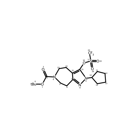 CC(C)(C)OC(=O)N1CCc2nn(C3CCCC3)c(OS(=O)(=O)C(F)(F)F)c2CC1